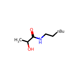 CCCCCCNC(=O)C(C)O